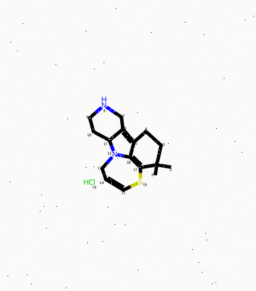 CC1(C)CCC2=C3CNCCC3N3CC=CSC1=C23.Cl